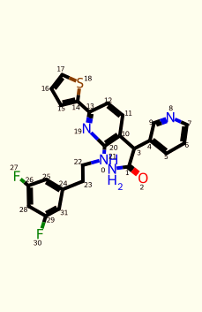 NC(=O)C(c1cccnc1)c1ccc(-c2cccs2)nc1NCCc1cc(F)cc(F)c1